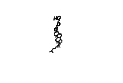 CC(C)CCC[C@@H](C)[C@H]1CCC2C3CC=C4C[C@@H](OCCOCCO)CC[C@]4(C)C3CC[C@@]21C